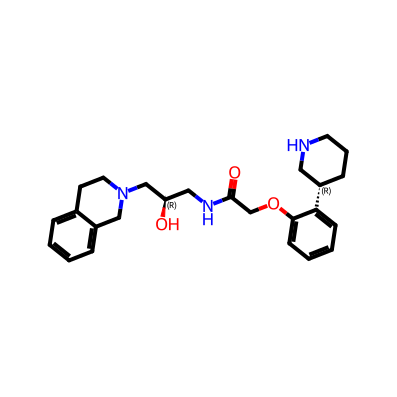 O=C(COc1ccccc1[C@H]1CCCNC1)NC[C@@H](O)CN1CCc2ccccc2C1